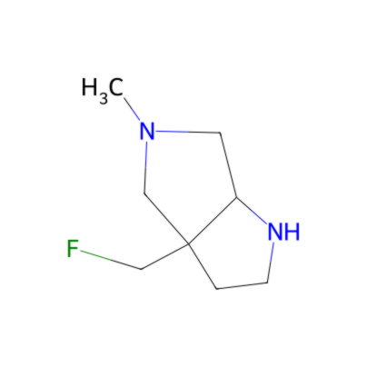 CN1CC2NCCC2(CF)C1